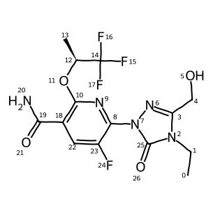 CCn1c(CO)nn(-c2nc(O[C@@H](C)C(F)(F)F)c(C(N)=O)cc2F)c1=O